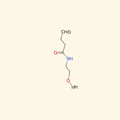 CCCOCCNC(=O)CCC=O